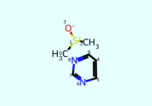 C[S+](C)[O-].c1cncnc1